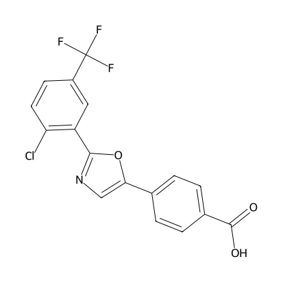 O=C(O)c1ccc(-c2cnc(-c3cc(C(F)(F)F)ccc3Cl)o2)cc1